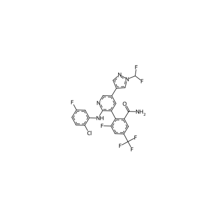 NC(=O)c1cc(C(F)(F)F)cc(F)c1-c1cc(-c2cnn(C(F)F)c2)cnc1Nc1cc(F)ccc1Cl